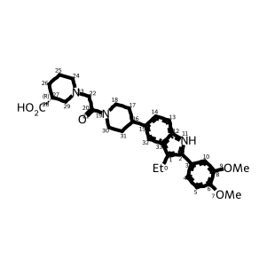 CCc1c(-c2ccc(OC)c(OC)c2)[nH]c2ccc(C3CCN(C(=O)CN4CCC[C@@H](C(=O)O)C4)CC3)cc12